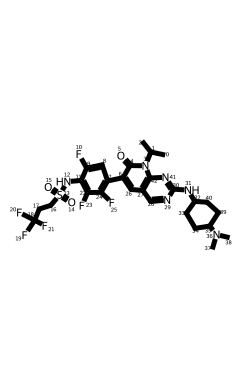 CC(C)n1c(=O)c(-c2cc(F)c(NS(=O)(=O)CCC(F)(F)F)c(F)c2F)cc2cnc(NC3CCC(N(C)C)CC3)nc21